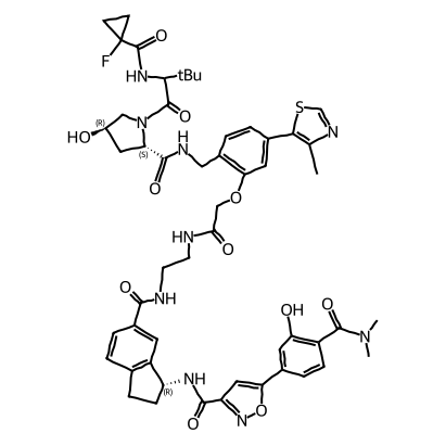 Cc1ncsc1-c1ccc(CNC(=O)[C@@H]2C[C@@H](O)CN2C(=O)C(NC(=O)C2(F)CC2)C(C)(C)C)c(OCC(=O)NCCNC(=O)c2ccc3c(c2)[C@H](NC(=O)c2cc(-c4ccc(C(=O)N(C)C)c(O)c4)on2)CC3)c1